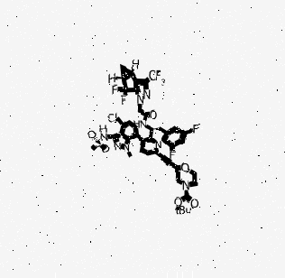 Cn1nc(NS(C)(=O)=O)c2c(Cl)ccc(-c3ccc(C#CC4CN(C(=O)OC(C)(C)C)CCO4)nc3[C@H](Cc3cc(F)cc(F)c3)NC(=O)Cn3nc(C(F)(F)F)c4c3C(F)(F)[C@@H]3C[C@H]43)c21